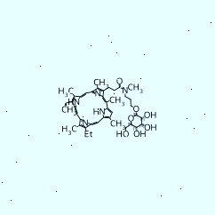 C=Cc1c(C)c2cc3nc(c(C)c4cc(C)c(cc5nc(cc1[nH]2)C(C)=C5CC)[nH]4)C(CCC(=O)N(C)CCCO[C@@H]1O[C@H](CO)[C@@H](O)[C@H](O)[C@H]1O)=C3C